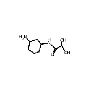 CC(C)C(=O)NC1CCCC(N)C1